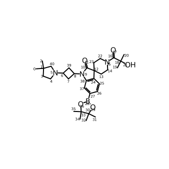 CC1(C)CCN(C2CC(N3C(=O)C4(CCN(C(=O)C(C)(C)O)CC4)c4ccc(B5OC(C)(C)C(C)(C)O5)cc43)C2)C1